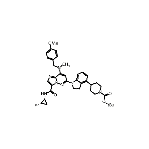 COc1ccc(CN(C)c2cc(N3CCc4c(C5CCN(C(=O)OC(C)(C)C)CC5)cccc43)nn3c(C(=O)N[C@@H]4C[C@@H]4F)cnc23)cc1